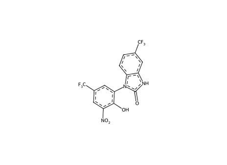 O=c1[nH]c2cc(C(F)(F)F)ccc2n1-c1cc(C(F)(F)F)cc([N+](=O)[O-])c1O